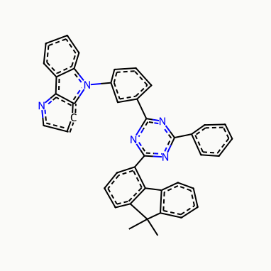 CC1(C)c2ccccc2-c2c(-c3nc(-c4ccccc4)nc(-c4cccc(-n5c6ccccc6c6ncccc65)c4)n3)cccc21